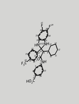 O=C(O)c1ccc(NC(=O)C(C2CCCCC2)C2(c3ccc(C(F)(F)F)cc3)Nc3cc(F)c(F)cc3N2)cc1